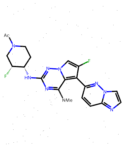 CNc1nc(N[C@H]2CCN(C(C)=O)C[C@H]2F)nn2cc(F)c(-c3ccc4nccn4n3)c12